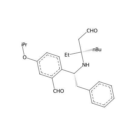 CCCC[C@](CC)(CC=O)N[C@H](Cc1ccccc1)c1ccc(OC(C)C)cc1C=O